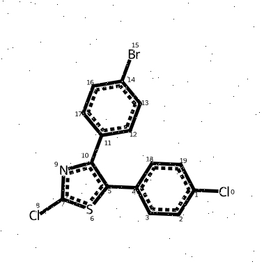 Clc1ccc(-c2sc(Cl)nc2-c2ccc(Br)cc2)cc1